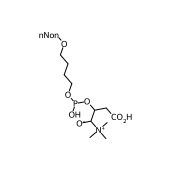 CCCCCCCCCOCCCCOP(O)OC(CC(=O)O)C([O-])[N+](C)(C)C